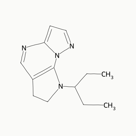 CCC(CC)N1CCc2cnc3ccnn3c21